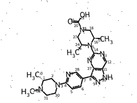 C[C@@H]1CN(c2ccc(-c3n[nH]c4cnc(N5[C@H](C)CN(C(=O)O)C[C@@H]5C)nc34)cn2)CCN1C